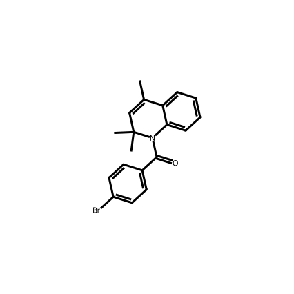 CC1=CC(C)(C)N(C(=O)c2ccc(Br)cc2)c2ccccc21